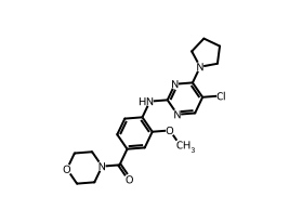 COc1cc(C(=O)N2CCOCC2)ccc1Nc1ncc(Cl)c(N2CCCC2)n1